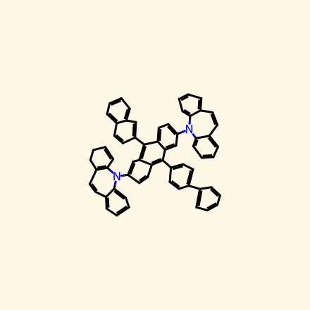 C1=CC2=C(C=Cc3ccccc3N2c2ccc3c(-c4ccc(-c5ccccc5)cc4)c4cc(N5c6ccccc6C=Cc6ccccc65)ccc4c(-c4ccc5ccccc5c4)c3c2)CC1